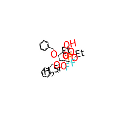 CCOP(=O)(OCC)C(F)(F)[C@]1(O[SiH2]C)O[C@H](CO)[C@@H](OCc2ccccc2)[C@@H]1OCc1ccccc1